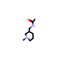 [CH2]C(=O)NCC1CCCN(C)C1